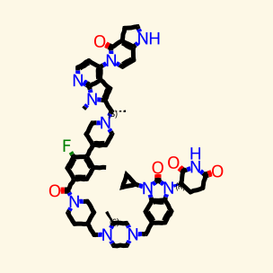 Cc1cc(C(=O)N2CCC(CN3CCN(Cc4ccc5c(c4)n(C4CC4)c(=O)n5[C@@H]4CCC(=O)NC4=O)C[C@@H]3C)CC2)cc(F)c1C1=CCN([C@@H](C)c2cc3c(-n4ccc5c(c4=O)CCN5)ccnc3n2C)CC1